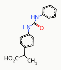 CC(C(=O)O)c1ccc(NC(=O)Nc2ccccc2)cc1